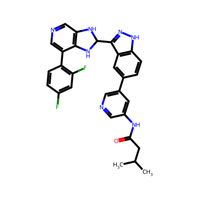 CC(C)CC(=O)Nc1cncc(-c2ccc3[nH]nc(C4Nc5cncc(-c6ccc(F)cc6F)c5N4)c3c2)c1